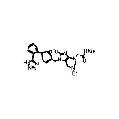 CCCCc1nc2c(n1Cc1ccc(-c3ccccc3-c3nnn[nH]3)cc1)CN(CC)CN2CC(=O)OC